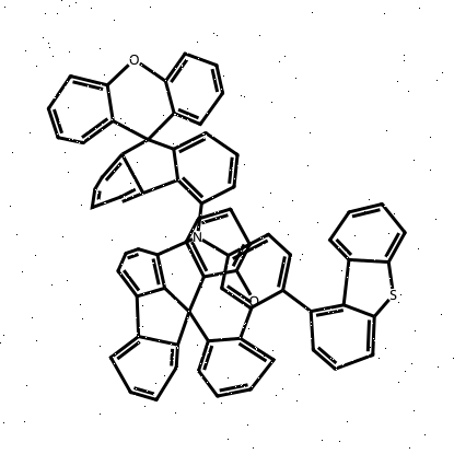 c1ccc2c(c1)Oc1ccccc1C21c2ccccc2-c2c(N(c3ccc(-c4cccc5sc6ccccc6c45)cc3)c3cccc4c3C3(c5ccccc5Oc5ccccc53)c3ccccc3-4)cccc21